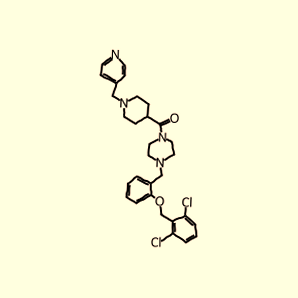 O=C(C1CCN(Cc2ccncc2)CC1)N1CCN(Cc2ccccc2OCc2c(Cl)cccc2Cl)CC1